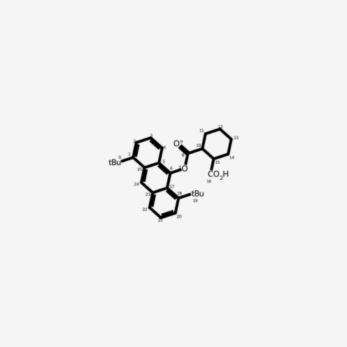 CC(C)(C)c1cccc2c(OC(=O)C3CCCCC3C(=O)O)c3c(C(C)(C)C)cccc3cc12